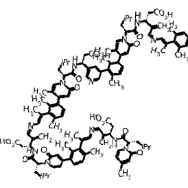 C=C(/C=N\C=C(/C)c1c(C)ccc(-c2cc(=O)n([C@@H](CC(C)C)C(=O)N[C@@H](CC(=O)O)c3cncc(-c4c(C)ccc(-c5cc(=O)n([C@@H](CC(C)C)C(=O)N[C@H](CC(=O)O)C(=C)/C=N\C=C(/C)c6c(C)cccc6C)cc5C)c4C)c3)cc2C)c1C)[C@@H](CC(=O)O)NC(=O)[C@@H](CC(C)C)n1ccc(-c2ccc(C)c(/C(C)=C/N=C\C(=C)[C@@H](CC(=O)O)NC(=O)[C@H](CC(C)C)n3ccc(C)cc3=O)c2C)cc1=O